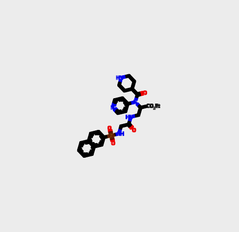 CCOC(=O)C(CNC(=O)CNS(=O)(=O)c1ccc2ccccc2c1)N(C(=O)C1CCNCC1)c1ccncc1